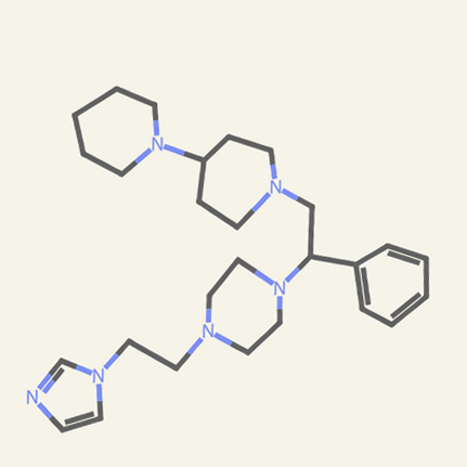 c1ccc(C(CN2CCC(N3CCCCC3)CC2)N2CCN(CCn3ccnc3)CC2)cc1